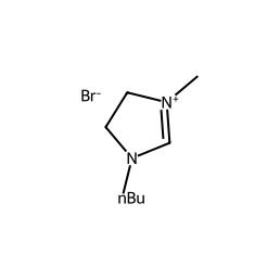 CCCCN1C=[N+](C)CC1.[Br-]